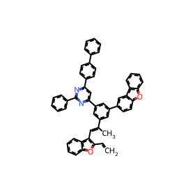 C=Cc1oc2ccccc2c1/C=C(\C)c1cc(-c2ccc3oc4ccccc4c3c2)cc(-c2cc(-c3ccc(-c4ccccc4)cc3)nc(-c3ccccc3)n2)c1